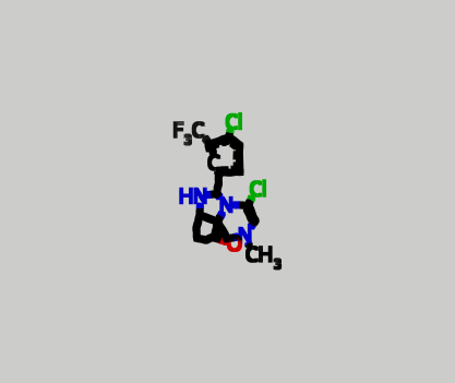 CN1C=C(Cl)N2C(c3ccc(Cl)c(C(F)(F)F)c3)NC3CCCC(=O)C32C1